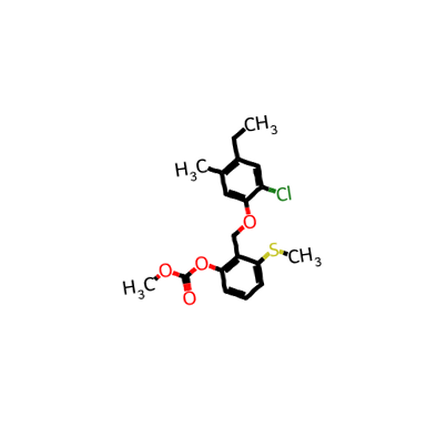 CCc1cc(Cl)c(OCc2c(OC(=O)OC)cccc2SC)cc1C